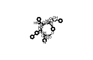 O=C1COc2ccc(cc2)C[C@H](C(=O)N[C@H](CCc2ccccc2)C(=O)O)NC(=O)[C@H](Cc2c[nH]c3ccccc23)NC(=O)[C@@H](Cc2ccc(-c3ccccc3)cc2)NC(=O)[C@H](Cc2ccncc2)N1